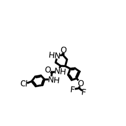 O=C1CC(c2ccc(OC(F)F)cc2)C(NC(=O)Nc2ccc(Cl)cc2)CN1